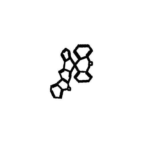 c1ccc2c(c1)Oc1ccccc1C21c2ccccc2-c2cc3c(cc21)oc1ccccc13